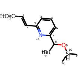 CCOC(=O)/C=C/c1cccc(C(O[SiH](C)C)C(C)(C)C)n1